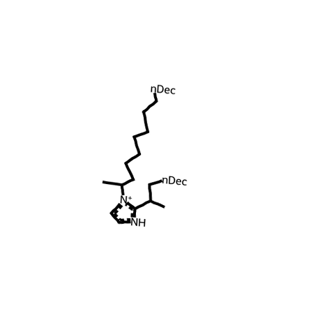 CCCCCCCCCCCCCCCCCC(C)[n+]1cc[nH]c1C(C)CCCCCCCCCCC